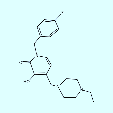 CCN1CCN(Cc2ccn(Cc3ccc(F)cc3)c(=O)c2O)CC1